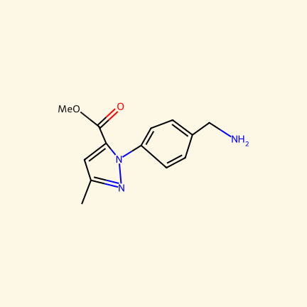 COC(=O)c1cc(C)nn1-c1ccc(CN)cc1